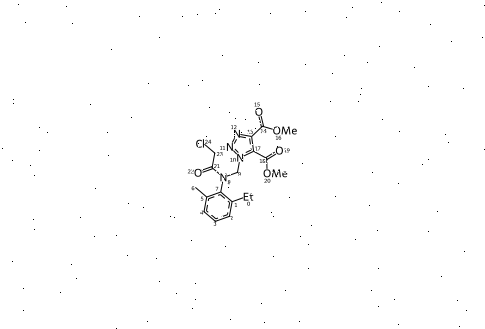 CCc1cccc(C)c1N(Cn1nnc(C(=O)OC)c1C(=O)OC)C(=O)CCl